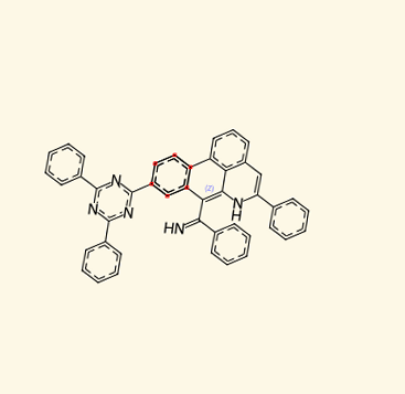 N=C(/C(=C1\NC(c2ccccc2)=Cc2cccc(-c3ccc(-c4nc(-c5ccccc5)nc(-c5ccccc5)n4)cc3)c21)c1ccccc1)c1ccccc1